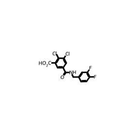 O=C(NCc1ccc(F)c(F)c1)c1cc(Cl)c(Cl)c(C(=O)O)c1